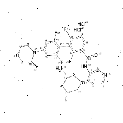 C[C@@H]1C[C@H](N)CN(c2ccncc2NC(=O)c2ccc(F)c(-c3c(F)cc(N4CCOC[C@@H]4C)cc3F)c2F)C1.Cl.Cl